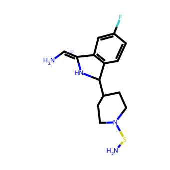 N/C=C1\NC(C2CCN(SN)CC2)c2ccc(F)cc21